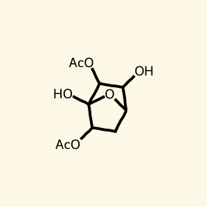 CC(=O)OC1CC2OC1(O)C(OC(C)=O)C2O